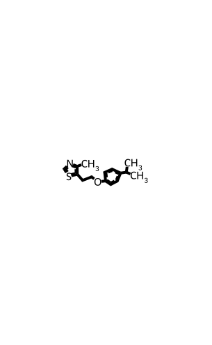 Cc1ncsc1CCOc1ccc(C(C)C)cc1